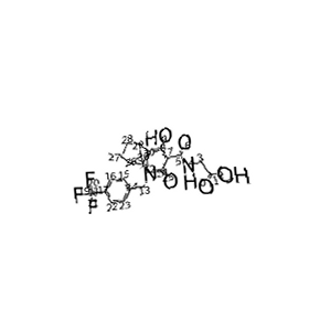 O=C(O)CNC(=O)c1c(O)c2c(n(Cc3ccc(C(F)(F)F)cc3)c1=O)C1CCC2C1